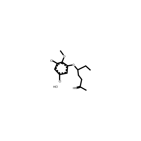 CCC(CCC(C)=N)Oc1cc(Cl)cc(Cl)c1OC.Cl